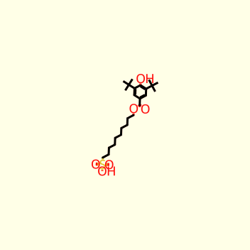 CC(C)(C)c1cc(C(=O)OCCCCCCCCCCS(=O)(=O)O)cc(C(C)(C)C)c1O